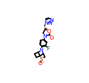 O=C1O[C@@H](Cn2ccnn2)CN1c1ccc(N2C3CCC34C2C[S+]4[O-])c(F)c1